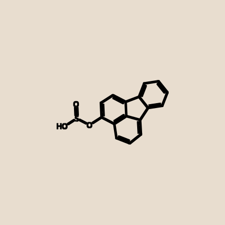 O=S(O)Oc1ccc2c3c(cccc13)-c1ccccc1-2